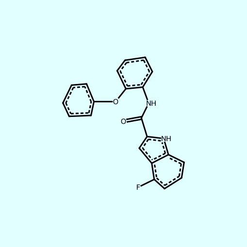 O=C(Nc1ccccc1Oc1ccccc1)c1cc2c(F)cccc2[nH]1